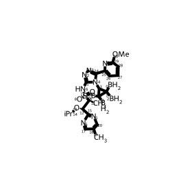 BC1(B)C(n2c(NS(=O)(=O)[C@@H](C)[C@@H](OC(C)C)c3ncc(C)cn3)nnc2-c2cccc(OC)n2)C1(B)B